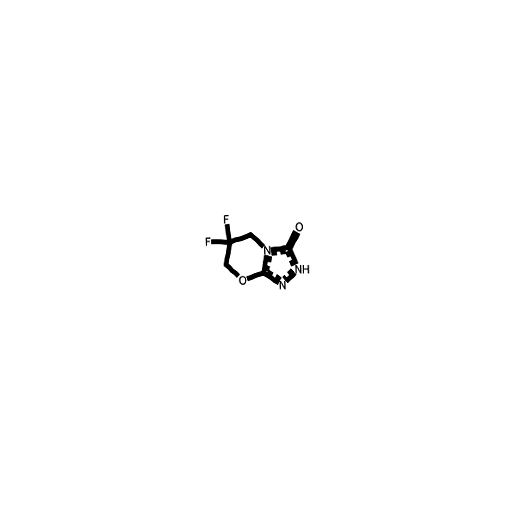 O=c1[nH]nc2n1CC(F)(F)CO2